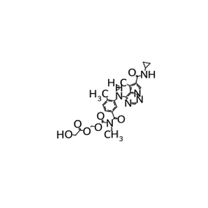 CCN(C(=O)OCOC(=O)CO)C(=O)c1ccc(C)c(Nc2ncnn3cc(C(=O)NC4CC4)c(C)c23)c1